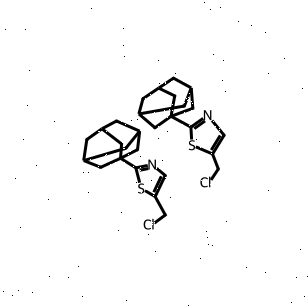 ClCc1cnc(C23CC4CC(CC(C4)C2)C3)s1.ClCc1cnc(C23CC4CC(CC(C4)C2)C3)s1